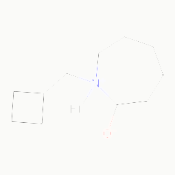 CC[N+]1(CC2CCC2)CCCCCC1[O-]